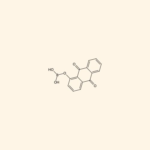 O=C1c2ccccc2C(=O)c2c(OB(O)O)cccc21